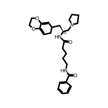 O=C(CCCCNC(=O)c1ccccc1)N[C@@H](CC1C=C2OCCOC2=CC1)CN1CCCC1